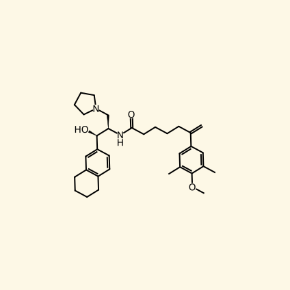 C=C(CCCCC(=O)N[C@H](CN1CCCC1)[C@H](O)c1ccc2c(c1)CCCC2)c1cc(C)c(OC)c(C)c1